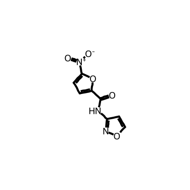 O=C(Nc1ccon1)c1ccc([N+](=O)[O-])o1